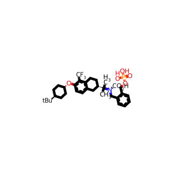 CC(C)([C@H]1CCc2c(ccc(O[C@H]3CC[C@H](C(C)(C)C)CC3)c2C(F)(F)F)C1)N(Cc1ccccc1COP(=O)(O)O)C(=O)O